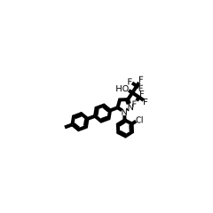 Cc1ccc(-c2ccc(C3CC(C(O)(C(F)(F)F)C(F)(F)F)=NN3c3ccccc3Cl)cc2)cc1